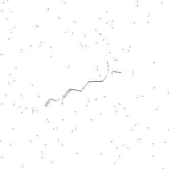 [CH]=CN=CCCCN(C)C